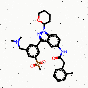 Cc1ccccc1CC(=O)Nc1ccc2c(c1)c(-c1cc(CN(C)C)cc(S(C)(=O)=O)c1)nn2C1CCCCO1